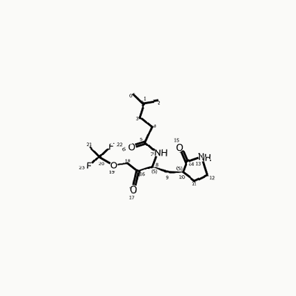 CC(C)CCC(=O)N[C@@H](C[C@@H]1CCNC1=O)C(=O)COC(C)(F)F